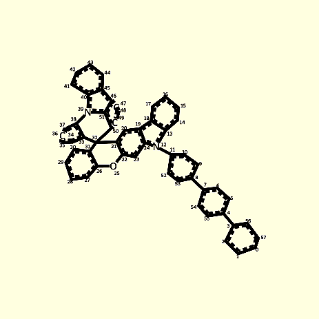 c1ccc(-c2ccc(-c3ccc(-n4c5ccccc5c5cc6c(cc54)Oc4ccccc4C64c5ccccc5-n5c6ccccc6c6cccc4c65)cc3)cc2)cc1